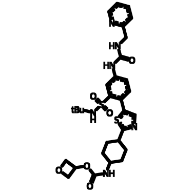 CC(C)(C)NS(=O)(=O)c1cc(NC(=O)NCc2ccccn2)ccc1-c1cnc(C2CCC(NC(=O)OC3COC3)CC2)s1